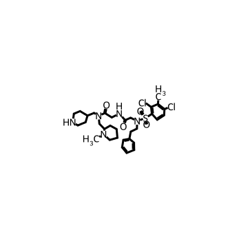 Cc1c(Cl)ccc(S(=O)(=O)N(CCc2ccccc2)CC(=O)NCC(=O)N(CC2CCNCC2)CC2CCCCN2C)c1Cl